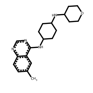 Cc1ccc2ncnc(NC3CCC(NC4CCOCC4)CC3)c2c1